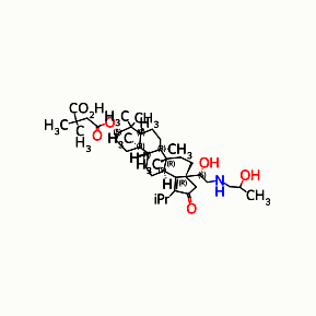 CC(O)CNC[C@@H](O)[C@@]12CC[C@]3(C)[C@H](CC[C@@H]4[C@@]5(C)CC[C@H](OC(=O)CC(C)(C)C(=O)O)C(C)(C)[C@@H]5CC[C@]43C)C1=C(C(C)C)C(=O)C2